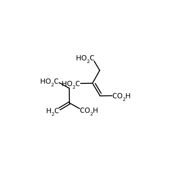 C=C(CC(=O)O)C(=O)O.O=C(O)/C=C(\CC(=O)O)C(=O)O